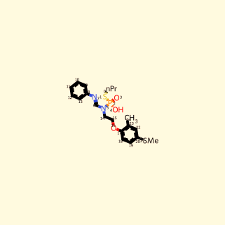 CCCSP(=O)(O)N(C=Nc1ccccc1)CCOc1ccc(SC)cc1C